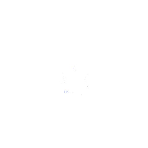 C1=CNCCC=N1